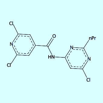 CCCc1nc(Cl)cc(NC(=O)c2cc(Cl)nc(Cl)c2)n1